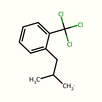 [CH2]C(C)Cc1ccccc1C(Cl)(Cl)Cl